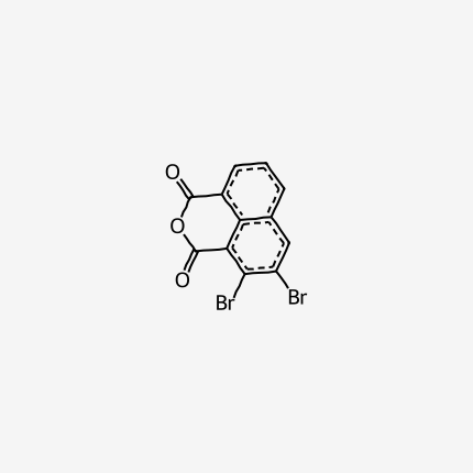 O=C1OC(=O)c2c(Br)c(Br)cc3cccc1c23